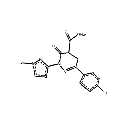 COC(=O)C1CC(c2ccc(Cl)cc2)=NN(c2ccn(C)n2)C1=O